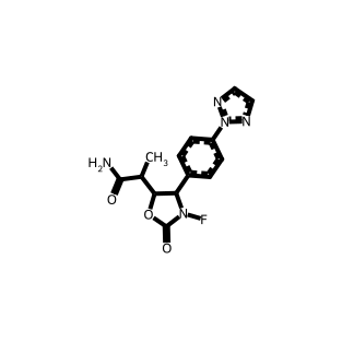 CC(C(N)=O)C1OC(=O)N(F)C1c1ccc(-n2nccn2)cc1